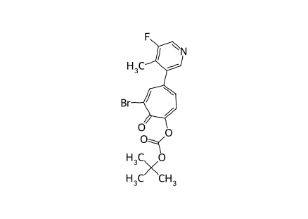 Cc1c(F)cncc1-c1ccc(OC(=O)OC(C)(C)C)c(=O)c(Br)c1